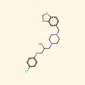 OC(COc1ccc(Cl)cc1)CN1CCN(Cc2ccc3c(c2)OCO3)CC1